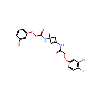 CC1(NC(=O)COc2cccc(Cl)c2)C=C(NC(=O)COc2ccc(Cl)c(Cl)c2)C1